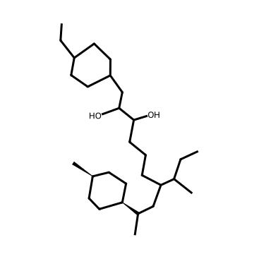 CCC1CCC(CC(O)C(O)CCCC(CC(C)[C@H]2CC[C@@H](C)CC2)C(C)CC)CC1